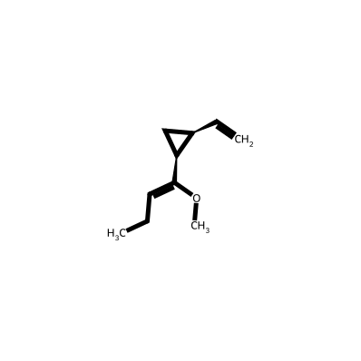 C=C[C@@H]1C[C@@H]1/C(=C/CC)OC